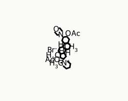 CC(=O)OC1CC2CC[C@@H]3[C@@H](CC[C@]4(C)C(OC(C)=O)C([N+]5(C)CCCCC5)C[C@@H]34)[C@@]2(C)CC1N1CCOCC1.[Br-]